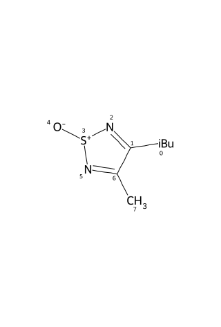 CCC(C)c1n[s+]([O-])nc1C